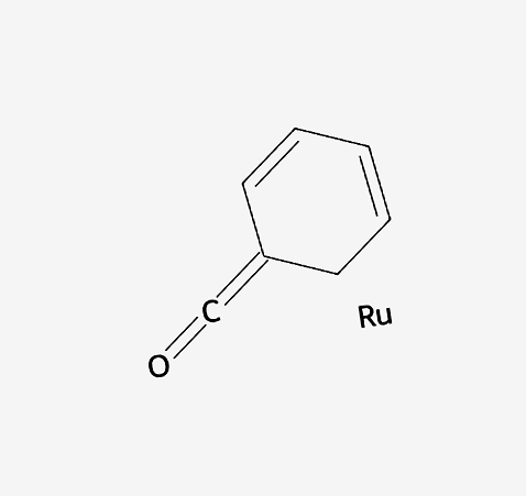 O=C=C1C=CC=CC1.[Ru]